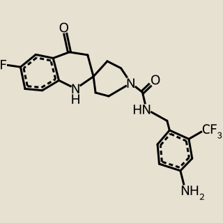 Nc1ccc(CNC(=O)N2CCC3(CC2)CC(=O)c2cc(F)ccc2N3)c(C(F)(F)F)c1